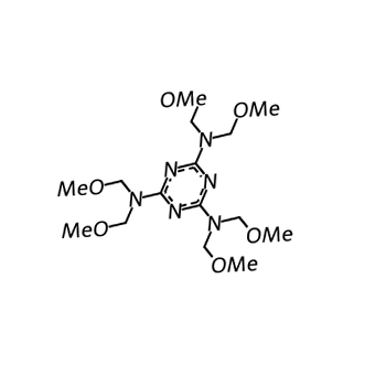 COCN(COC)c1nc(N(COC)COC)nc(N(COC)COC)n1